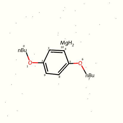 CCCCOc1[c]cc(OCCCC)cc1.[MgH2]